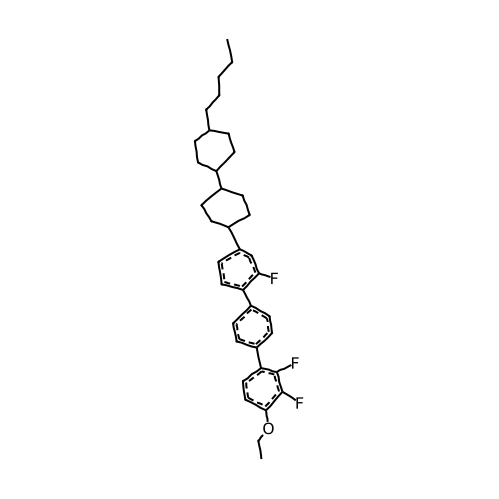 CCCCCC1CCC(C2CCC(c3ccc(-c4ccc(-c5ccc(OCC)c(F)c5F)cc4)c(F)c3)CC2)CC1